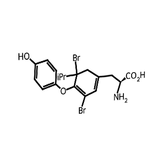 CC(C)C1(Br)CC(C[C@H](N)C(=O)O)=CC(Br)=C1Oc1ccc(O)cc1